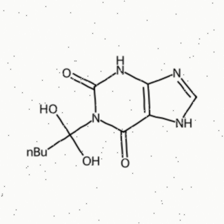 CCCCC(O)(O)n1c(=O)[nH]c2nc[nH]c2c1=O